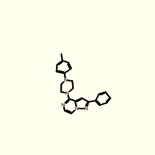 Cc1ccc(N2CCN(c3nccn4nc(-c5ccccc5)cc34)CC2)cc1